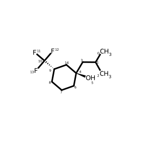 CC(C)C[C@]1(O)CCC[C@H](C(F)(F)F)C1